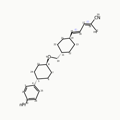 CCCc1ccc([C@H]2CC[C@H](OC[C@H]3CC[C@H](/C=C/C=C(\F)C#N)CC3)CC2)cc1